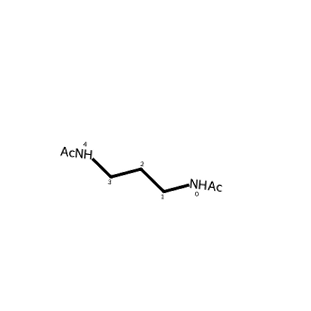 CC(=O)NCCCNC(C)=O